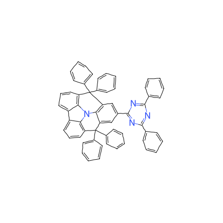 c1ccc(-c2nc(-c3ccccc3)nc(-c3cc4c5c(c3)C(c3ccccc3)(c3ccccc3)c3cccc6c7cccc(c7n-5c36)C4(c3ccccc3)c3ccccc3)n2)cc1